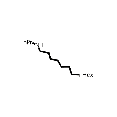 CCCCCCCCCCCCCNCCC